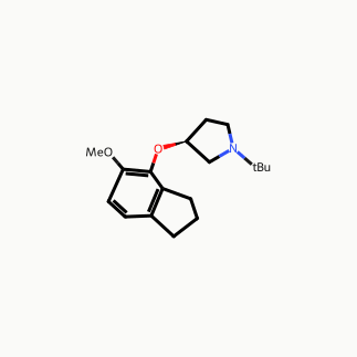 COc1ccc2c(c1O[C@H]1CCN(C(C)(C)C)C1)CCC2